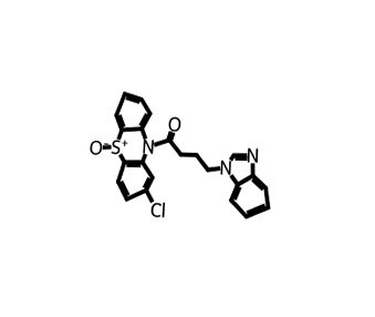 O=C(CCCn1cnc2ccccc21)N1c2ccccc2[S+]([O-])c2ccc(Cl)cc21